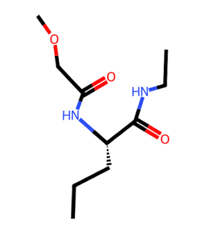 CCC[C@H](NC(=O)COC)C(=O)NCC